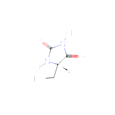 CC[C@@]1(C)C(=O)N(Cl)C(=O)N1Cl